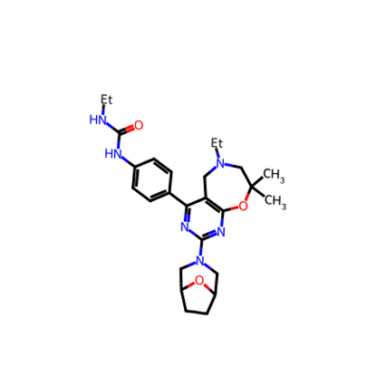 CCNC(=O)Nc1ccc(-c2nc(N3CC4CCC(C3)O4)nc3c2CN(CC)CC(C)(C)O3)cc1